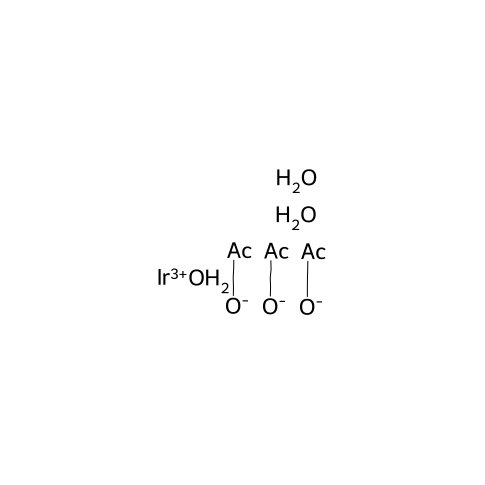 CC(=O)[O-].CC(=O)[O-].CC(=O)[O-].O.O.O.[Ir+3]